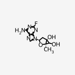 C[C@]12O[C@@H](n3cnc4c(N)nc(F)nc43)C[C@@]1(O)C2O